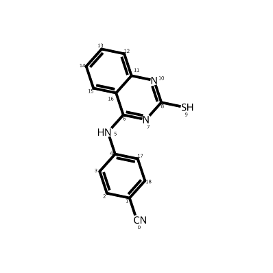 N#Cc1ccc(Nc2nc(S)nc3ccccc23)cc1